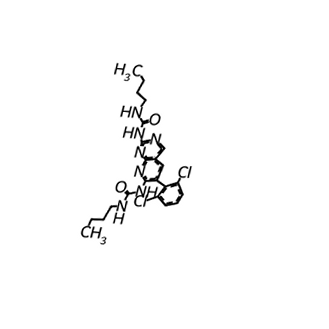 CCCCNC(=O)Nc1ncc2cc(-c3c(Cl)cccc3Cl)c(NC(=O)NCCCC)nc2n1